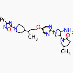 CC(C)c1noc(N2CCC([C@H](C)CCOc3cnc(N4C[C@@H](N)[C@@H](N5C[C@@H](C)CCC5=O)C4)nc3)CC2)n1